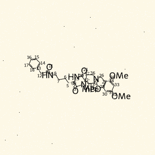 CCCN1C(=O)[C@H](CCCCNC(=O)Cc2ccccc2)NC(=O)C12CCN(Cc1c(OC)cc(OC)cc1OC)CC2